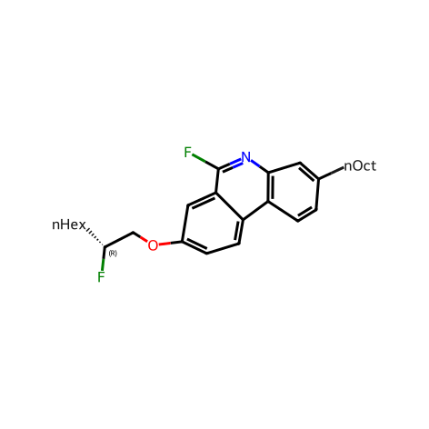 CCCCCCCCc1ccc2c(c1)nc(F)c1cc(OC[C@H](F)CCCCCC)ccc12